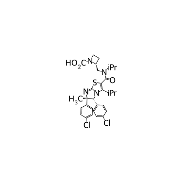 CC(C)C1=C(C(=O)N(C[C@@H]2CCN2C(=O)O)C(C)C)SC2=N[C@@](C)(c3ccc(Cl)cc3)[C@@H](c3ccc(Cl)cc3)N21